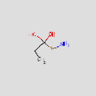 CCC(O)(O)SN